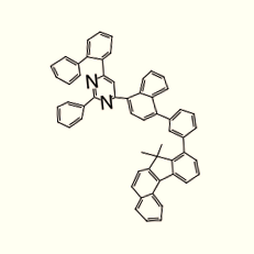 CC1(C)c2ccc3ccccc3c2-c2cccc(-c3cccc(-c4ccc(-c5cc(-c6ccccc6-c6ccccc6)nc(-c6ccccc6)n5)c5ccccc45)c3)c21